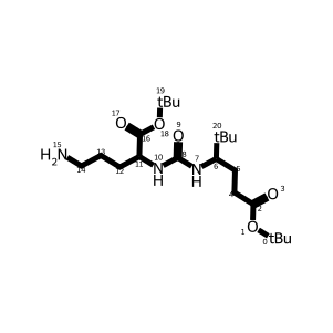 CC(C)(C)OC(=O)CCC(NC(=O)NC(CCCN)C(=O)OC(C)(C)C)C(C)(C)C